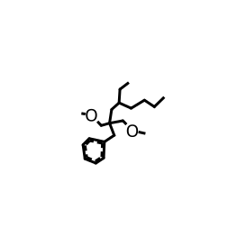 CCCCC(CC)CC(COC)(COC)Cc1ccccc1